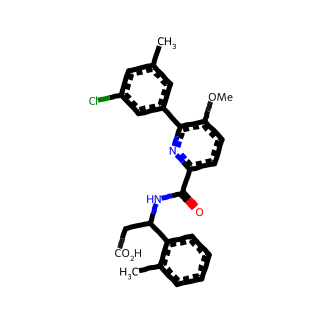 COc1ccc(C(=O)NC(CC(=O)O)c2ccccc2C)nc1-c1cc(C)cc(Cl)c1